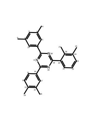 Cc1cc(C)cc(-c2nc(-c3ccc(C)c(C)c3)nc(-c3cccc(C)c3C)n2)c1